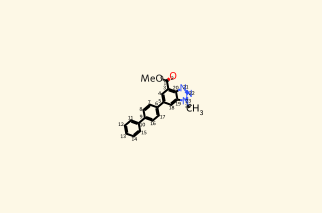 COC(=O)c1cc(-c2ccc(-c3ccccc3)cc2)cc2c1nnn2C